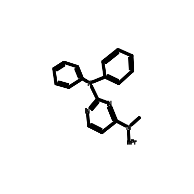 CCCN(C)c1ccnc(N(c2ccccc2)c2ccccc2)n1